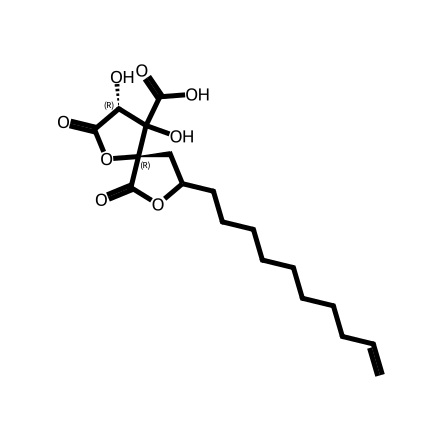 C=CCCCCCCCCC1C[C@]2(OC(=O)[C@H](O)C2(O)C(=O)O)C(=O)O1